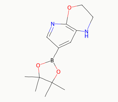 CC1(C)OB(c2cnc3c(c2)NCCO3)OC1(C)C